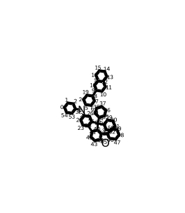 c1ccc(N(c2ccc(-c3ccc4ccccc4c3)cc2)c2ccc3c(c2)C(c2ccccc2)(c2ccccc2)c2c-3ccc3oc4ccccc4c23)cc1